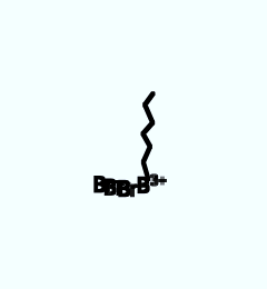 CCCCCCC.[B+3].[Br-].[Br-].[Br-]